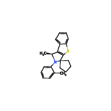 Cc1ccccc1N1[C@@H](C)c2c(sc3ccccc23)C12CCCC2